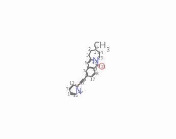 CC1CCc2cc3cc(C#Cc4ccc#cn4)ccc3c(=O)n2CC1